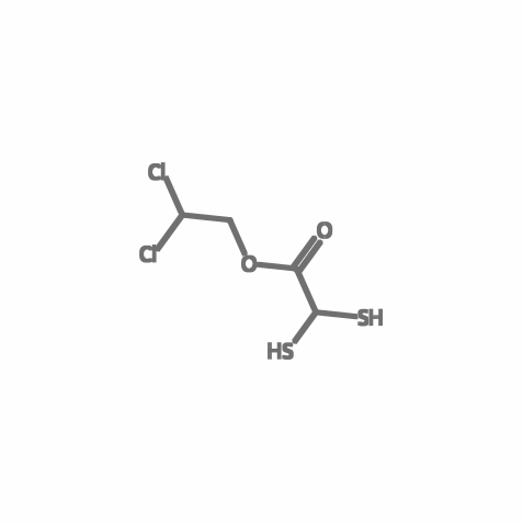 O=C(OCC(Cl)Cl)C(S)S